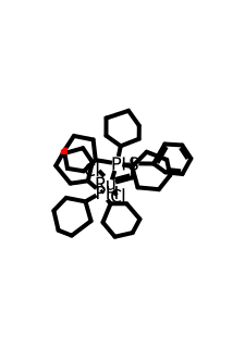 [Cl][Ru]([Cl])(=[CH]Sc1ccccc1)([PH](C1CCCCC1)(C1CCCCC1)C1CCCCC1)[PH](C1CCCCC1)(C1CCCCC1)C1CCCCC1